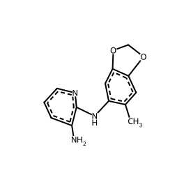 Cc1cc2c(cc1Nc1ncccc1N)OCO2